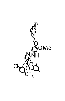 COc1cc(Nc2nccc(N(Cc3cc(C(F)(F)F)ccc3Cl)C(=O)Oc3c(C)cc(C)cc3C)n2)ccc1OCCCN1CCN(C(C)C)CC1